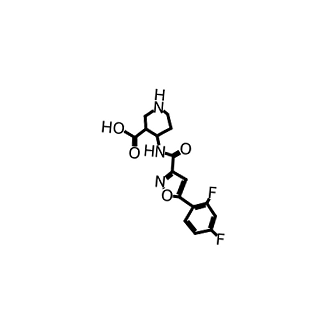 O=C(NC1CCNCC1C(=O)O)c1cc(-c2ccc(F)cc2F)on1